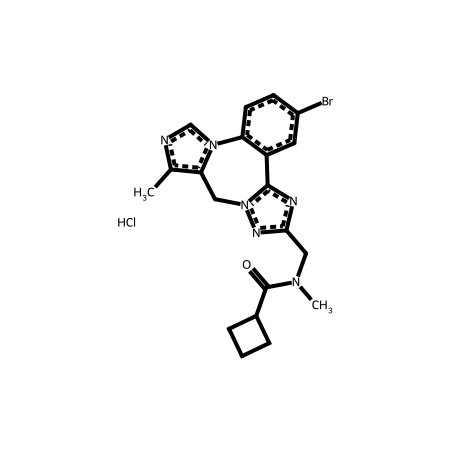 Cc1ncn2c1Cn1nc(CN(C)C(=O)C3CCC3)nc1-c1cc(Br)ccc1-2.Cl